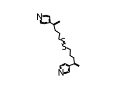 C=C(CCCSSCCCC(=C)c1ccncc1)c1ccncc1